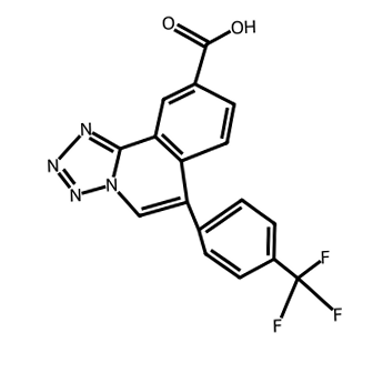 O=C(O)c1ccc2c(-c3ccc(C(F)(F)F)cc3)cn3nnnc3c2c1